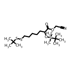 CC(C)(C)SSCCCCCC(O[Si](C)(C)C(C)(C)C)C(=O)OCC#N